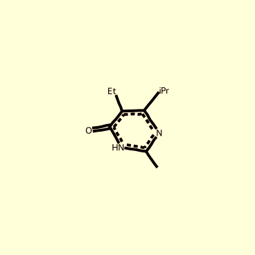 CCc1c(C(C)C)nc(C)[nH]c1=O